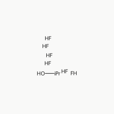 CC(C)O.F.F.F.F.F.F